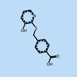 O=C(O)c1ccc(CSc2ncccc2O)cc1